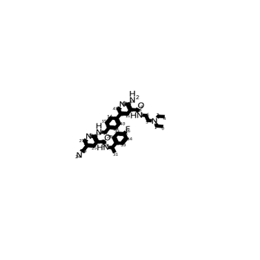 CCN(CC)CCNC(=O)c1cc(-c2ccc(CNc3ncc(C#N)cc3C(=O)NC(C)c3ccc(F)cc3)cc2)cnc1N